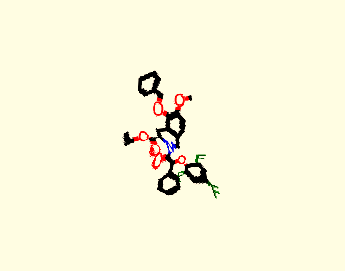 CCOC(=O)[C@@H]1Cc2c(ccc(OC)c2OCc2ccccc2)CN1C(=O)C(Oc1c(F)cc(F)cc1F)c1ccccc1